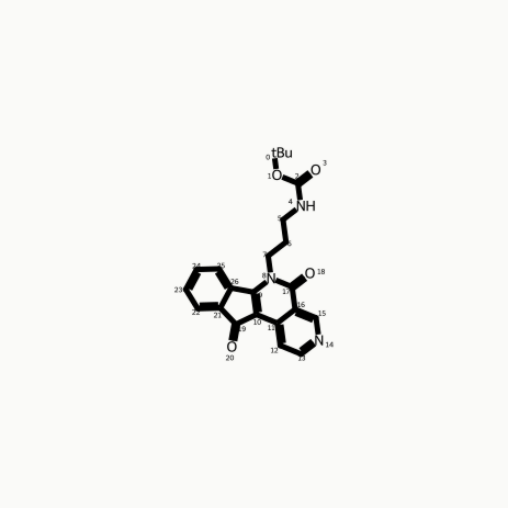 CC(C)(C)OC(=O)NCCCn1c2c(c3ccncc3c1=O)C(=O)c1ccccc1-2